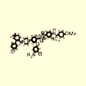 COC1CCC(CNc2ccc(S(=O)(=O)NC(=O)c3ccc(N4CCN(CC5=C(c6ccc(Cl)cc6)CC(C)(C)CC5)CC4)cc3Oc3ccc(N)c(Cl)c3)cc2[N+](=O)[O-])CC1